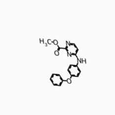 COC(=O)c1nccc(Nc2ccc(Oc3ccccc3)cc2)n1